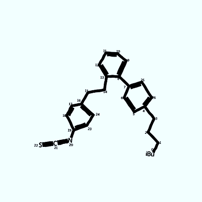 CCC(C)CCCc1ccc(-c2ccccc2CCc2ccc(N=C=S)cc2)cc1